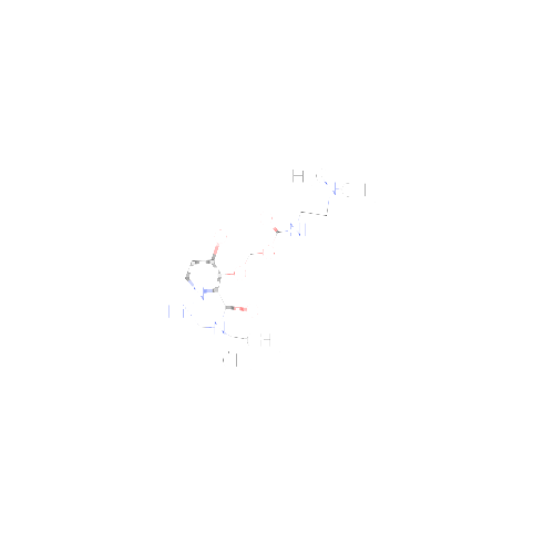 C[C@@H](N1CNn2ccc(=O)c(OCOC(=O)NCCN(C)C)c2C1=O)C(F)(F)F